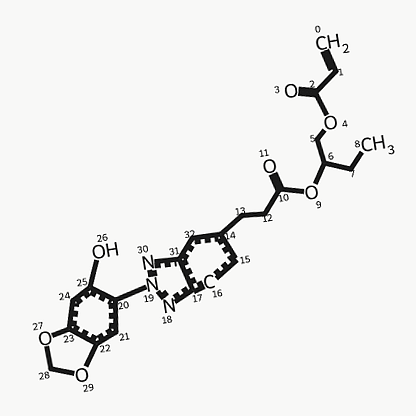 C=CC(=O)OCC(CC)OC(=O)CCc1ccc2nn(-c3cc4c(cc3O)OCO4)nc2c1